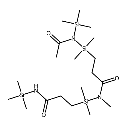 CC(=O)N([Si](C)(C)C)[Si](C)(C)CCC(=O)N(C)[Si](C)(C)CCC(=O)N[Si](C)(C)C